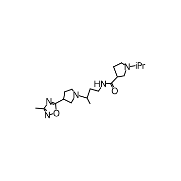 Cc1noc(C2CCN(C(C)CCNC(=O)C3CCN(C(C)C)C3)C2)n1